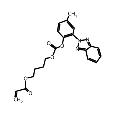 C=CC(=O)OCCCCOC(=O)Oc1ccc(C)cc1-n1nc2ccccc2n1